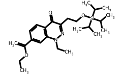 C=C(OCC)c1ccc2c(=O)c(CCO[Si](C(C)C)(C(C)C)C(C)C)nn(CC)c2c1